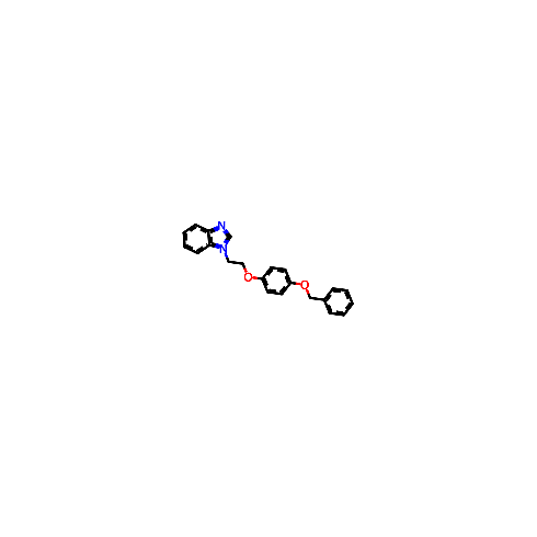 c1ccc(COc2ccc(OCCn3cnc4ccccc43)cc2)cc1